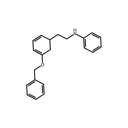 C1=CC(CCNc2ccccc2)CC(OCc2ccccc2)=C1